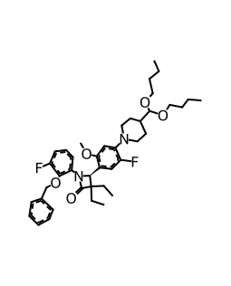 CCCCOC(OCCCC)C1CCN(c2cc(OC)c([C@@H]3N(c4cccc(F)c4OCc4ccccc4)C(=O)C3(CC)CC)cc2F)CC1